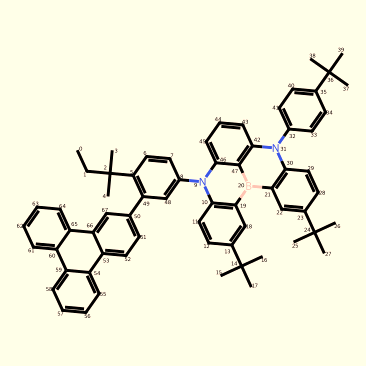 CCC(C)(C)c1ccc(N2c3ccc(C(C)(C)C)cc3B3c4cc(C(C)(C)C)ccc4N(c4ccc(C(C)(C)C)cc4)c4cccc2c43)cc1-c1ccc2c3ccccc3c3ccccc3c2c1